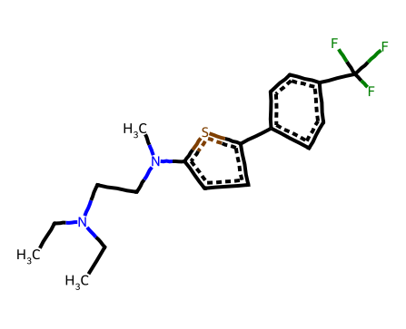 CCN(CC)CCN(C)c1ccc(-c2ccc(C(F)(F)F)cc2)s1